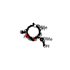 C=C[C@@H]1/C=C/C=C/C=C(\C)C(OCC2COC2)C[C@@H]2CC[C@@H](C)[C@@](O)(O2)C(=O)C(=O)N2CCCCC2C(=O)O[C@H]([C@H](C)C[C@@H]2CC[C@@H](OCCCO)[C@H](OC)C2)CC(=O)[C@H](C)/C=C(\C)[C@@H](O)[C@@H](OC)C(=O)[C@H](C)C1